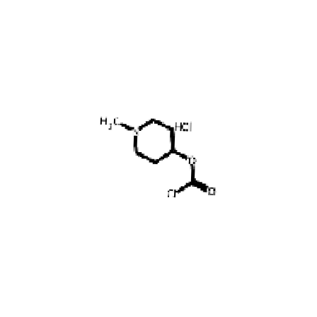 CN1CCC(OC(=O)Cl)CC1.Cl